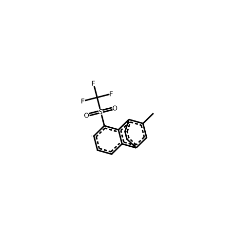 Cc1cc2ccc1c1c(S(=O)(=O)C(F)(F)F)[c]ccc21